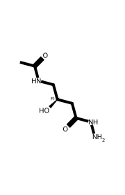 CC(=O)NC[C@H](O)CC(=O)NN